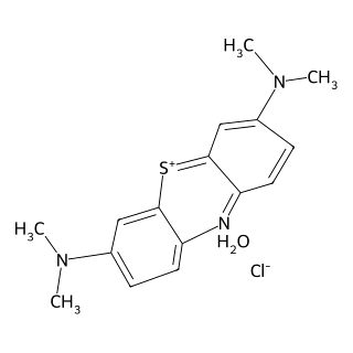 CN(C)c1ccc2nc3ccc(N(C)C)cc3[s+]c2c1.O.[Cl-]